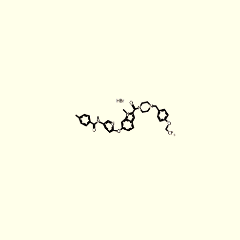 Br.Cc1ccc(C(=O)N(C)c2ccc(Oc3ccc4cc(C(=O)N5CCN(Cc6ccc(OCC(F)(F)F)cc6)CC5)n(C)c4c3)nc2)cc1